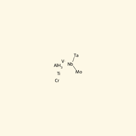 [AlH3].[Cr].[Mo][Nb][Ta].[Ti].[V]